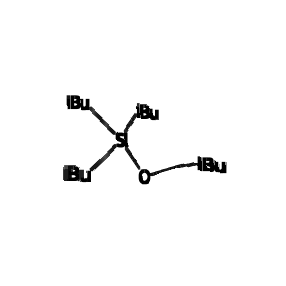 CCC(C)O[Si](C(C)CC)(C(C)CC)C(C)CC